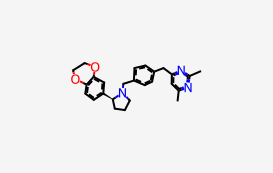 Cc1cc(Cc2ccc(CN3CCC[C@H]3c3ccc4c(c3)OCCO4)cc2)nc(C)n1